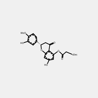 CCCCCCCCCCCC(=O)Oc1cc(O)cc2c1C(=O)C[C@@H](c1ccc(OC)c(O)c1)O2